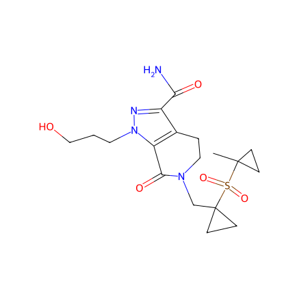 CC1(S(=O)(=O)C2(CN3CCc4c(C(N)=O)nn(CCCO)c4C3=O)CC2)CC1